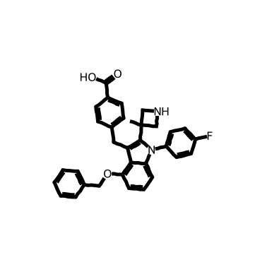 CC1(c2c(Cc3ccc(C(=O)O)cc3)c3c(OCc4ccccc4)cccc3n2-c2ccc(F)cc2)CNC1